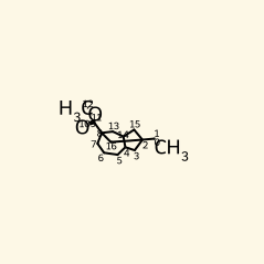 CCC12CC3CCCC(C(=O)OC)(CC3C1)C2